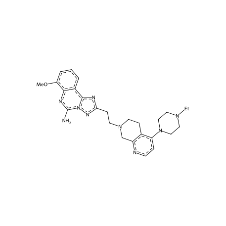 CCN1CCN(c2ccnc3c2CCN(CCc2nc4c5cccc(OC)c5nc(N)n4n2)C3)CC1